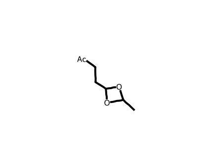 CC(=O)CCC1OC(C)O1